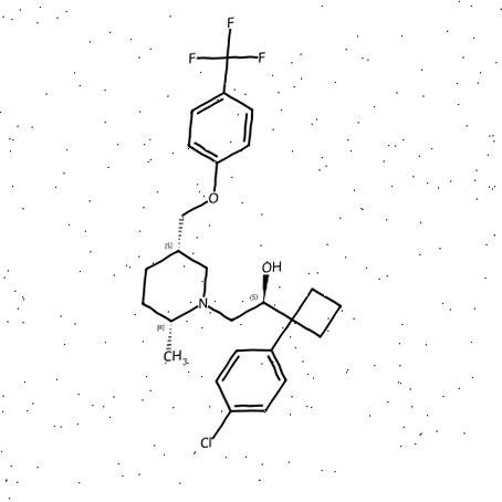 C[C@@H]1CC[C@H](COc2ccc(C(F)(F)F)cc2)CN1C[C@@H](O)C1(c2ccc(Cl)cc2)CCC1